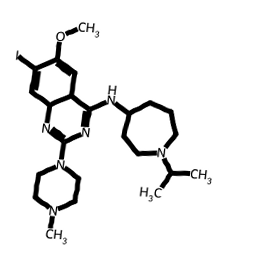 COC1=CC2C(NC3CCCN(C(C)C)CC3)=NC(N3CCN(C)CC3)=NC2C=C1I